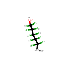 CCCCCC(F)(F)C(F)(F)C(F)(F)C(F)(F)C(O)(F)F